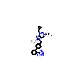 Cc1nc2c(n1Cc1ccc(-c3ccccc3-c3nnn[nH]3)cc1)CN(C)CN2CC1CC1